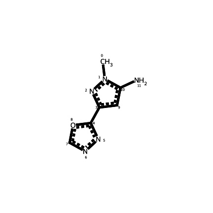 Cn1nc(-c2nnco2)cc1N